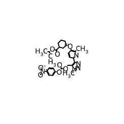 Cc1nc(-c2nnn(C)c2COC(=O)Oc2ccc([N+](=O)[O-])cc2)ccc1O[C@H]1CCCC(C(=O)OC(C)C)C1